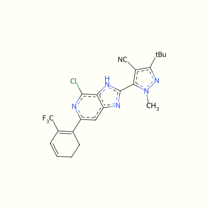 Cn1nc(C(C)(C)C)c(C#N)c1-c1nc2cc(C3=C(C(F)(F)F)C=CCC3)nc(Cl)c2[nH]1